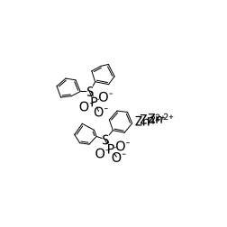 [O-]P([O-])([O-])=S(c1ccccc1)c1ccccc1.[O-]P([O-])([O-])=S(c1ccccc1)c1ccccc1.[Zn+2].[Zn+2].[Zn+2]